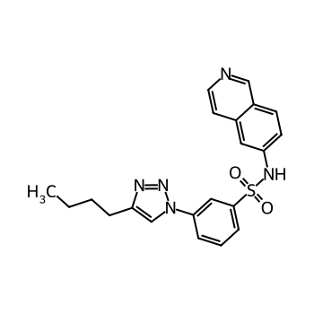 CCCCc1cn(-c2cccc(S(=O)(=O)Nc3ccc4cnccc4c3)c2)nn1